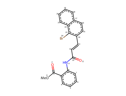 COC(=O)c1ccccc1NC(=O)C=Cc1ccc2ccccc2c1Br